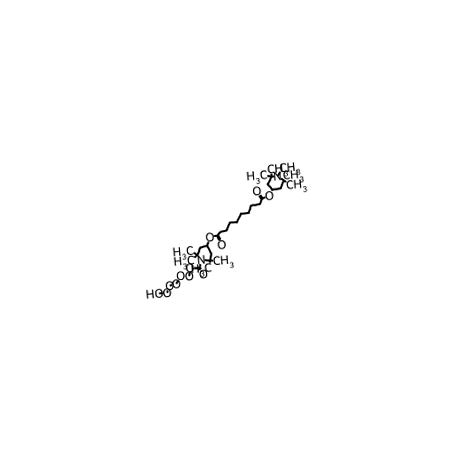 CN1C(C)(C)CC(OC(=O)CCCCCCCCC(=O)OC2CC(C)(C)N(C(=O)OOOOOOO)C(C)(C)C2)CC1(C)C